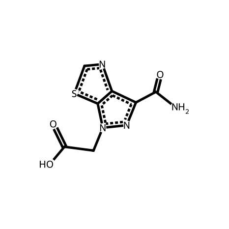 NC(=O)c1nn(CC(=O)O)c2scnc12